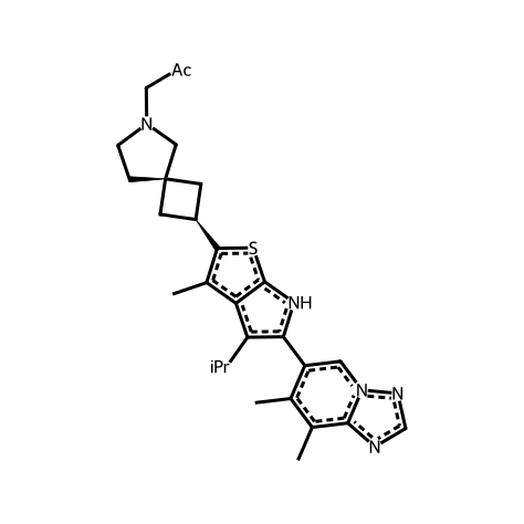 CC(=O)CN1CC[C@]2(C1)C[C@H](c1sc3[nH]c(-c4cn5ncnc5c(C)c4C)c(C(C)C)c3c1C)C2